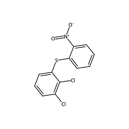 O=[N+]([O-])c1ccccc1Sc1cccc(Cl)c1Cl